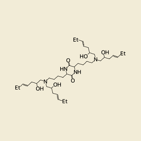 CC/C=C/CC(O)CN(CCCCC1NC(=O)C(CCCCN(CC(O)C/C=C/CC)CC(O)C/C=C/CC)NC1=O)CC(O)C/C=C/CC